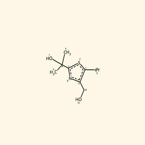 CC(C)c1sc(C(C)(C)O)nc1CO